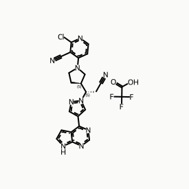 N#CC[C@@H]([C@H]1CCN(c2ccnc(Cl)c2C#N)C1)n1cc(-c2ncnc3[nH]ccc23)cn1.O=C(O)C(F)(F)F